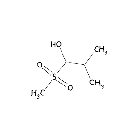 CC(C)C(O)S(C)(=O)=O